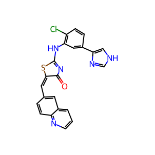 O=C1N=C(Nc2cc(-c3c[nH]cn3)ccc2Cl)SC1=Cc1ccc2ncccc2c1